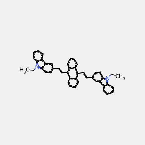 CCn1c2ccccc2c2cc(/C=C/c3c4ccccc4c(/C=C/c4ccc5c(c4)c4ccccc4n5CC)c4ccccc34)ccc21